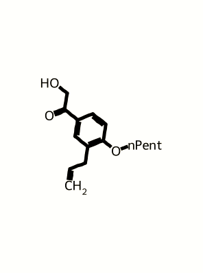 C=CCc1cc(C(=O)CO)ccc1OCCCCC